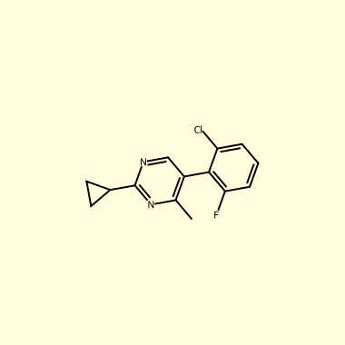 Cc1nc(C2CC2)ncc1-c1c(F)cccc1Cl